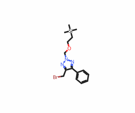 C[Si](C)(C)CCOCn1nc(CBr)c(-c2ccccc2)n1